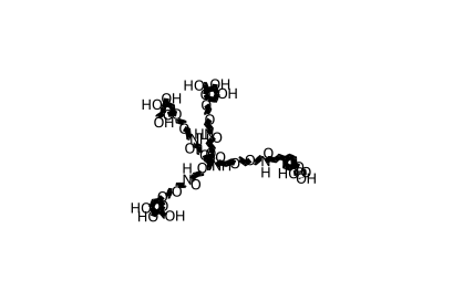 O=C(CCOCC(COCCC(=O)NCCOCCOC1CC(O)C(O)C(CO)O1)(COCCC(=O)NCCOCCOC1CC(O)C(O)C(CO)O1)NC(=O)CCOCCOCCNC(=O)CCc1ccc(OP(=O)(O)O)cc1)NCCOCCOC1CC(O)C(O)C(CO)O1